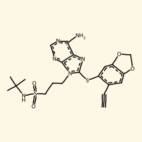 C#Cc1cc2c(cc1Sc1nc3c(N)ncnc3n1CCCS(=O)(=O)NC(C)(C)C)OCO2